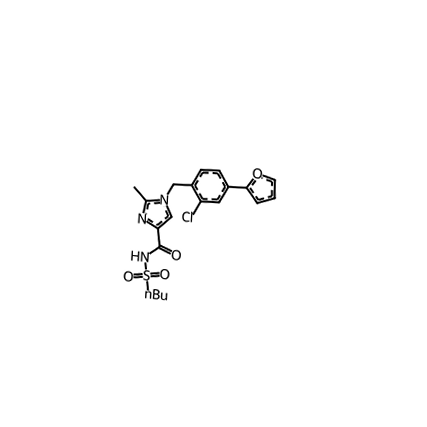 CCCCS(=O)(=O)NC(=O)c1cn(Cc2ccc(-c3ccco3)cc2Cl)c(C)n1